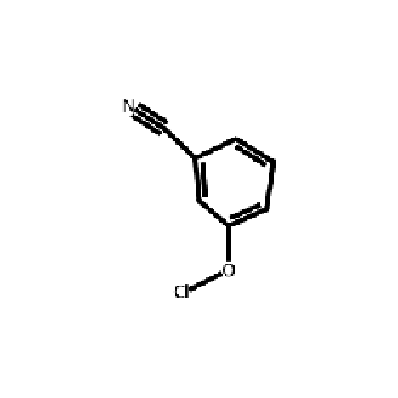 N#Cc1cccc(OCl)c1